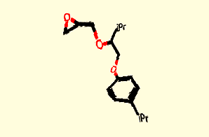 CC(C)c1ccc(OCC(OCC2CO2)C(C)C)cc1